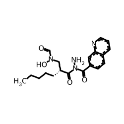 CCCCC[C@H](CN(O)C=O)C(=O)N(N)C(=O)c1ccc2cccnc2c1